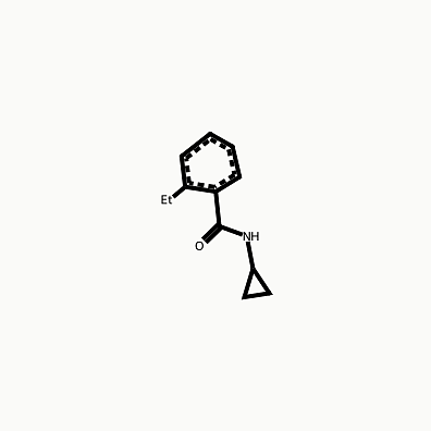 [CH2]Cc1ccccc1C(=O)NC1CC1